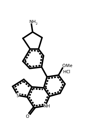 COc1ccc2[nH]c(=O)c3sccc3c2c1-c1ccc2c(c1)CC(N)C2.Cl